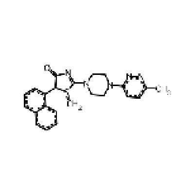 C=S1C(N2CCN(c3ccc(C)nn3)CC2)=NC(=O)C1c1cccc2ccccc12